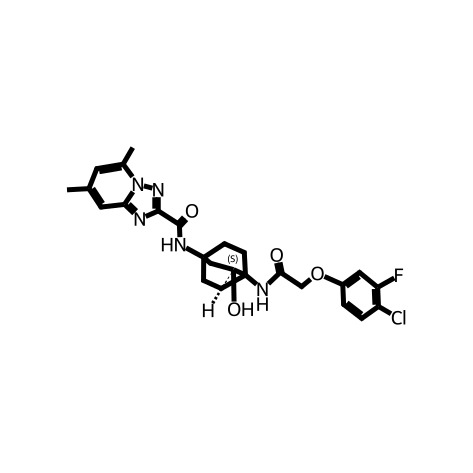 Cc1cc(C)n2nc(C(=O)NC34CCC(NC(=O)COc5ccc(Cl)c(F)c5)(CC3)[C@@H](O)C4)nc2c1